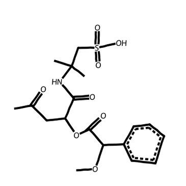 COC(C(=O)OC(CC(C)=O)C(=O)NC(C)(C)CS(=O)(=O)O)c1ccccc1